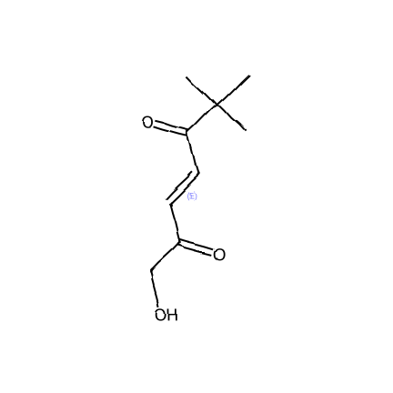 CC(C)(C)C(=O)/C=C/C(=O)CO